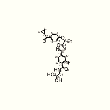 CC[C@@H](Oc1ccc(C(=O)C2CC2)cc1)c1nc(-c2ccc(C(=O)NCC(O)O)c(F)c2)no1